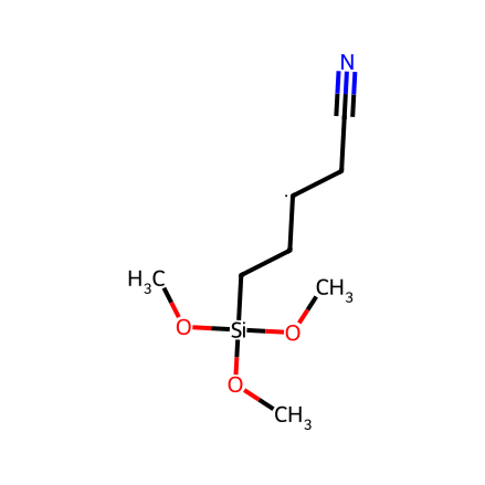 CO[Si](CC[CH]CC#N)(OC)OC